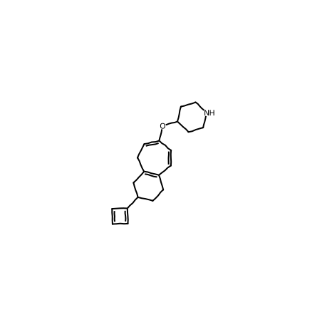 C1=CC(C2CCC3=C(CC=C(OC4CCNCC4)C=C3)C2)=C1